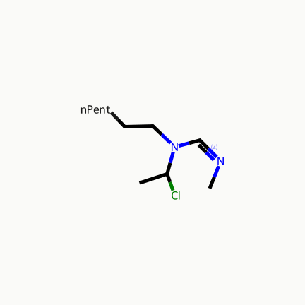 CCCCCCCN(/C=N\C)C(C)Cl